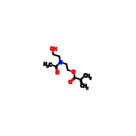 C=C(C)C(=O)OCCN(CCO)C(C)=O